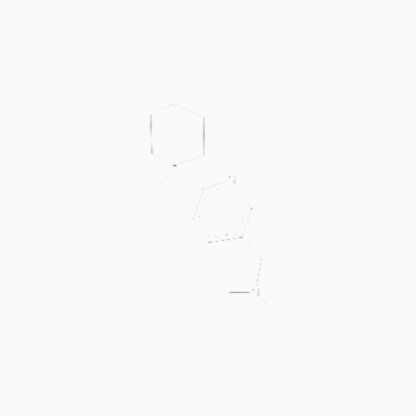 CN(C)Cc1ccc(C2(O)CCCCC2)nc1